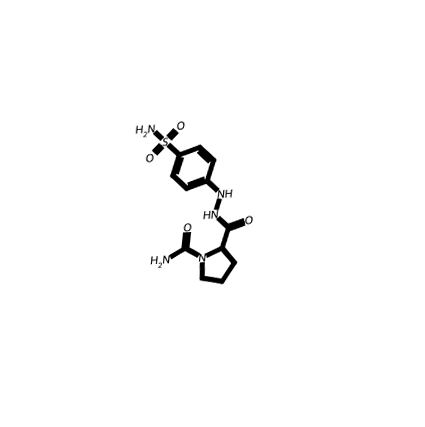 NC(=O)N1CCCC1C(=O)NNc1ccc(S(N)(=O)=O)cc1